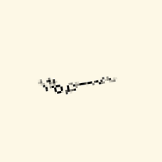 COCCCCCCCCN1CCC(Oc2ccc(C(=O)NN)cc2)CC1